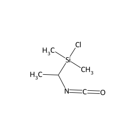 CC(N=C=O)[Si](C)(C)Cl